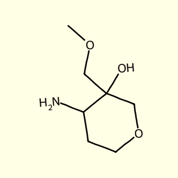 COCC1(O)COCCC1N